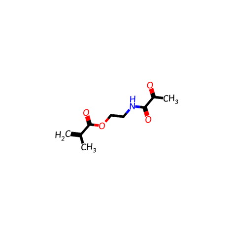 C=C(C)C(=O)OCCNC(=O)C(C)=O